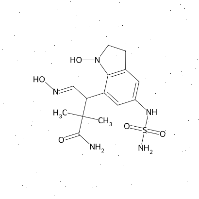 CC(C)(C(N)=O)C(C=NO)c1cc(NS(N)(=O)=O)cc2c1N(O)CC2